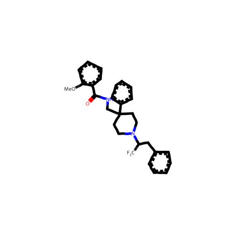 COc1ccccc1C(=O)NCC1(c2ccccc2)CCN(C(Cc2ccccc2)C(F)(F)F)CC1